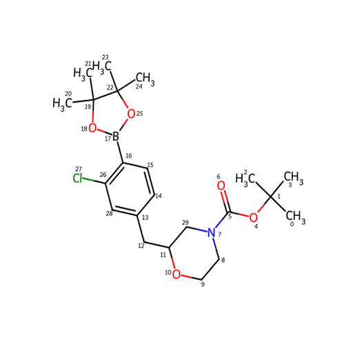 CC(C)(C)OC(=O)N1CCOC(Cc2ccc(B3OC(C)(C)C(C)(C)O3)c(Cl)c2)C1